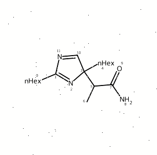 CCCCCCC1=NC(CCCCCC)(C(C)C(N)=O)C=N1